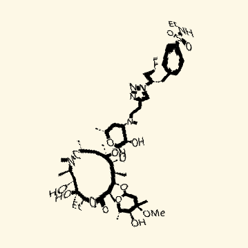 CCNS(=O)(=O)c1ccc(C[C@@H](CF)n2cc(CCN(C)[C@H]3C[C@@H](C)O[C@@H](O[C@@H]4[C@@H](C)[C@H](O[C@H]5C[C@@](C)(OC)[C@@H](O)[C@H](C)O5)[C@@H](C)C(=O)O[C@H](CC)[C@@](C)(O)[C@H](O)[C@@H](C)N(C)C[C@H](C)C[C@@]4(C)O)[C@@H]3O)nn2)cc1